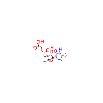 CC[C@H]1O[C@@H](n2cc(C)c(=O)[nH]c2=O)C(O)[C@H]1OC(=O)CCC(=O)O